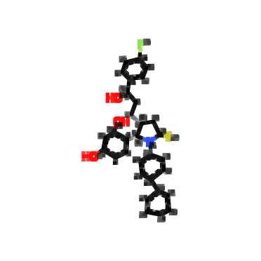 Oc1ccc([C@@H]2[C@H](CC[C@H](O)c3ccc(F)cc3)CC(=S)N2c2ccc(-c3ccccc3)cc2)c(O)c1